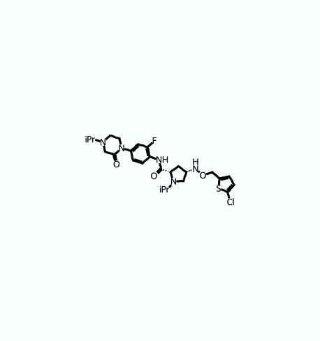 CC(C)N1CCN(c2ccc(NC(=O)[C@@H]3C[C@H](NOCc4ccc(Cl)s4)CN3C(C)C)c(F)c2)C(=O)C1